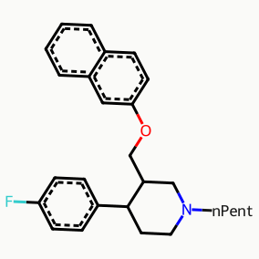 CCCCCN1CCC(c2ccc(F)cc2)C(COc2ccc3ccccc3c2)C1